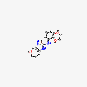 N[C@H]1COCCC[C@H]1NC(=S)Nc1cccc2c1OCCO2